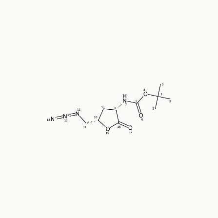 CC(C)(C)OC(=O)N[C@H]1C[C@@H](CN=[N+]=[N-])OC1=O